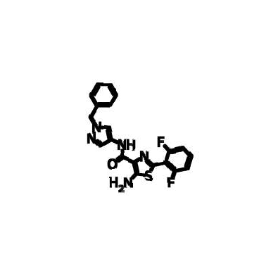 Nc1sc(-c2c(F)cccc2F)nc1C(=O)Nc1cnn(Cc2ccccc2)c1